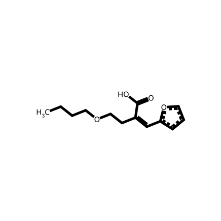 CCCCOCCC(=Cc1ccco1)C(=O)O